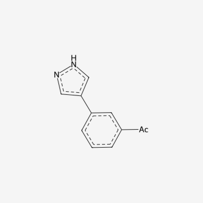 CC(=O)c1cccc(-c2cn[nH]c2)c1